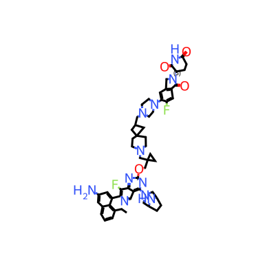 CCc1cccc2cc(N)cc(-c3ncc4c(N5CC6CCC(C5)N6)nc(OCC5(CN6CCC7(CC6)CC(CN6CCN(c8cc9c(cc8F)C(=O)N([C@H]8CCC(=O)NC8=O)C9)CC6)C7)CC5)nc4c3F)c12